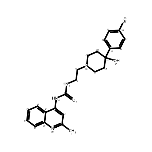 Cc1cc(NC(=O)NCCN2CCC(O)(c3ccc(Br)cc3)CC2)c2ccccc2n1